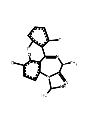 C[C@@H]1N=C(c2c(F)cccc2F)c2c(ccc(Cl)c2Cl)N2C1=NNC2O